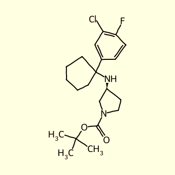 CC(C)(C)OC(=O)N1CC[C@H](NC2(c3ccc(F)c(Cl)c3)CCCCC2)C1